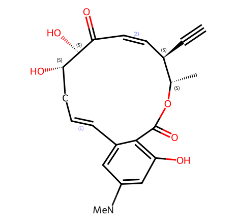 C#C[C@@H]1/C=C\C(=O)[C@@H](O)[C@@H](O)C/C=C/c2cc(NC)cc(O)c2C(=O)O[C@H]1C